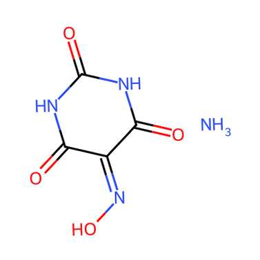 N.O=C1NC(=O)C(=NO)C(=O)N1